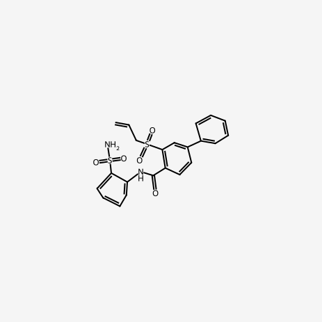 C=CCS(=O)(=O)c1cc(-c2ccccc2)ccc1C(=O)Nc1ccccc1S(N)(=O)=O